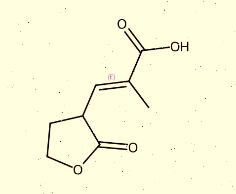 C/C(=C\C1CCOC1=O)C(=O)O